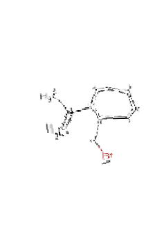 C=C(C)c1ccccc1CBr